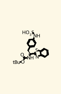 CC(C)(C)OC(=O)N[C@@H](Cc1ccc(NS(=O)(=O)O)cc1)c1nc2ccccc2s1